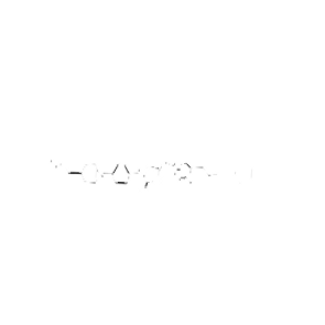 N#CC=C1CCN(c2ccc(N3C[C@@H](Cn4cc(CCC(=O)O)nn4)OC3=O)cc2)CC1